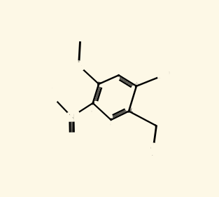 COc1cc(Cl)c(CO)cc1[N+](=O)[O-]